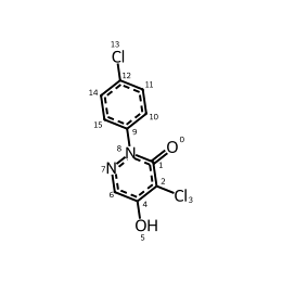 O=c1c(Cl)c(O)cnn1-c1ccc(Cl)cc1